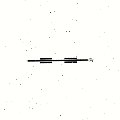 [CH2]C#CC#CC([CH2])C